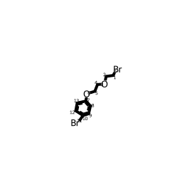 BrCCOCCOc1ccc(Br)cc1